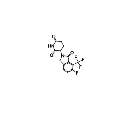 O=C1CCC(N2Cc3ccc(F)c(C(F)(F)F)c3C2=O)C(=O)N1